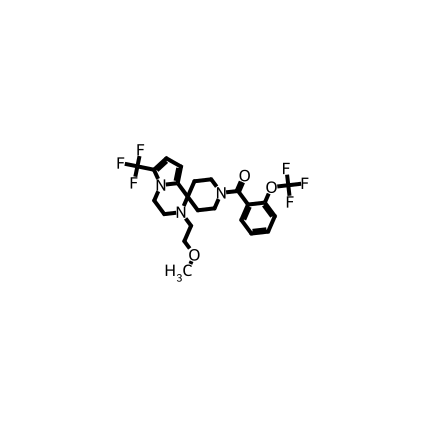 COCCN1CCn2c(C(F)(F)F)ccc2C12CCN(C(=O)c1ccccc1OC(F)(F)F)CC2